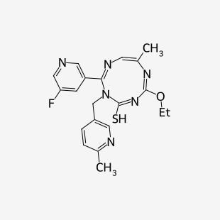 CCOc1nc(C)cnc(-c2cncc(F)c2)n(Cc2ccc(C)nc2)c(S)n1